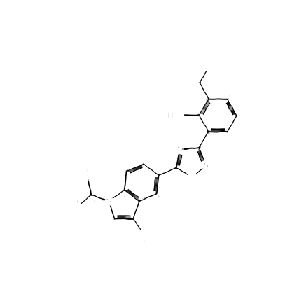 Cc1c(CO)cccc1-c1noc(-c2ccc3c(c2)c(Cl)cn3C(C)C)n1